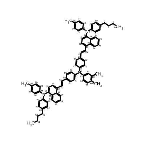 CCCCc1ccc(N(c2ccc(C)cc2)c2ccc(/C=C/c3ccc(N(c4ccc(/C=C/c5ccc(N(c6ccc(C)cc6)c6ccc(CCCC)cc6)c6ccccc56)cc4)c4ccc(C)c(C)c4)cc3)c3ccccc23)cc1